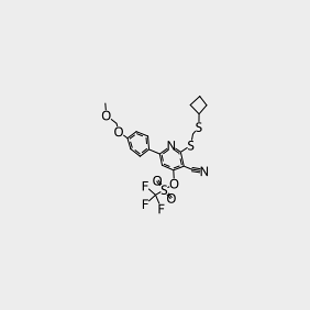 COCOc1ccc(-c2cc(OS(=O)(=O)C(F)(F)F)c(C#N)c(SCSC3CCC3)n2)cc1